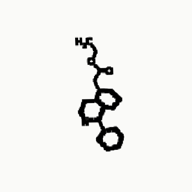 CCOC(=O)Cc1cccc2c(-c3ccccc3)nccc12